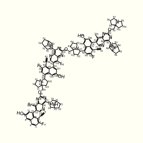 C#Cc1c(F)ccc2cc(O)cc(-c3cnc4c(N5CC6CCC(C5)N6)nc(OCC56CCCN5C(c5cc(F)c(C#C)c7c(-c8cnc9c(N%10CC%11CCC(C%10)N%11)nc(OCC%10%11CCCN%10C(c%10cc(F)c(C#C)c%12c(-c%13cnc%14c(N%15CC%16CCC(C%15)N%16)nc(OCC%15%16CCCN%15CCC%16)nc%14c%13C)cc(O)cc%10%12)CC%11)nc9c8I)cc(O)cc57)CC6)nc4c3Br)c12